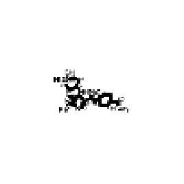 CCNC(=O)C1CCC2(CC1)CC(c1cnc3c(cnn3CC)c1NC1CCS(O)(O)CC1)=NO2